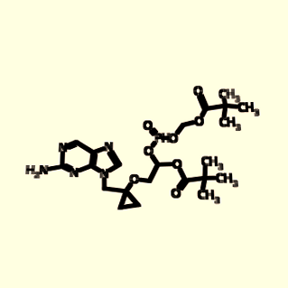 CC(C)(C)C(=O)OCO[PH](=O)OC(COC1(Cn2cnc3cnc(N)nc32)CC1)OC(=O)C(C)(C)C